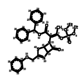 CCOP(=O)(OCC)OC(C)=C(C(=O)OC(c1ccccc1)c1ccccc1)N1C(=O)C2N=C(COc3ccccc3)SC21